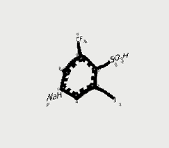 O=S(=O)(O)c1c(I)cccc1C(F)(F)F.[NaH]